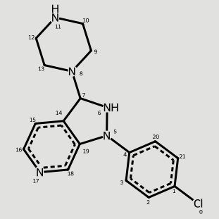 Clc1ccc(N2NC(N3CCNCC3)c3ccncc32)cc1